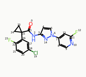 O=C(Nc1ccn(-c2ccnc(F)c2)n1)C1(c2cc(Cl)ccc2F)CC1